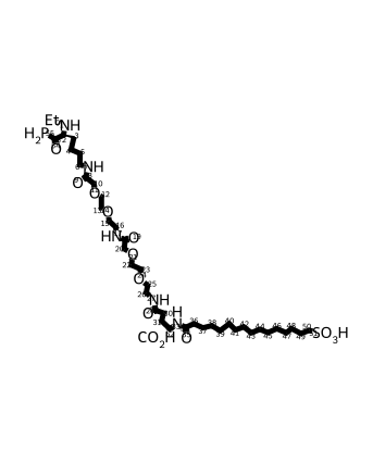 CCN[C@@H](CCCCNC(=O)COCCOCCNC(=O)COCCOCCNC(=O)CC[C@H](NC(=O)CCCCCCCCCCCCCCCS(=O)(=O)O)C(=O)O)C(=O)P